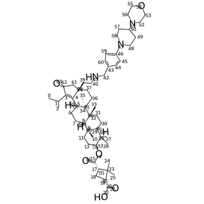 CC(C)C1=C2[C@H]3CC[C@@H]4[C@@]5(C)CC[C@H](OC(=O)[C@H]6C[C@@H](C(=O)O)C6(C)C)C(C)(C)[C@@H]5CC[C@@]4(C)[C@]3(C)CC[C@@]2(CCNCc2ccc(N3CCC(N4CCOCC4)CC3)cc2)CC1=O